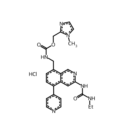 CCNC(=O)Nc1cc2c(-c3ccncc3)ccc(CNC(=O)OCc3nccn3C)c2cn1.Cl